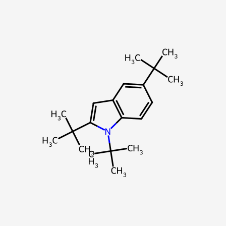 CC(C)(C)c1ccc2c(c1)cc(C(C)(C)C)n2C(C)(C)C